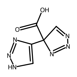 O=C(O)C1(c2c[nH]nn2)C=NN=N1